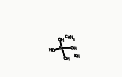 O[Si](O)(O)O.[CaH2].[KH]